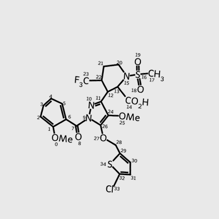 COc1ccccc1C(=O)n1nc(C2C(C(=O)O)N(S(C)(=O)=O)CCC2C(F)(F)F)c(OC)c1OCc1ccc(Cl)s1